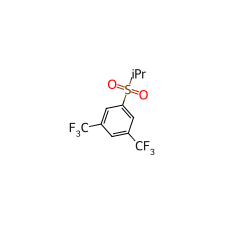 CC(C)S(=O)(=O)c1cc(C(F)(F)F)cc(C(F)(F)F)c1